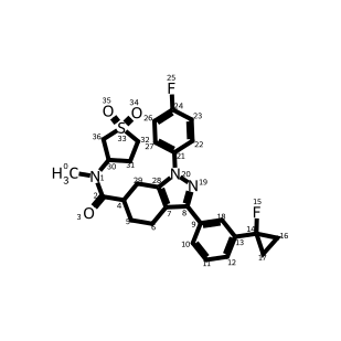 CN(C(=O)C1CCc2c(-c3cccc(C4(F)CC4)c3)nn(-c3ccc(F)cc3)c2C1)C1CCS(=O)(=O)C1